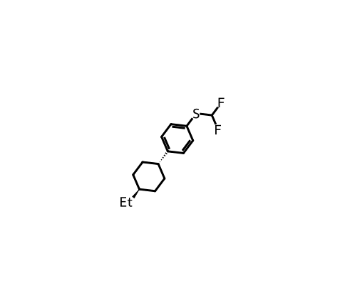 CC[C@H]1CC[C@H](c2ccc(SC(F)F)cc2)CC1